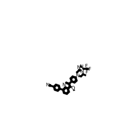 COc1c(-c2ccc(N3Cc4nnc(C(F)(F)F)n4C(C)C3)cc2)cnc2c(-c3ccc(C#N)cc3)cccc12